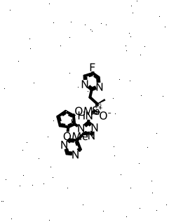 COc1cccc(OC)c1-n1c(N[S+]([O-])[C@H](C)Cc2ncc(F)cn2)nnc1-c1cncnc1